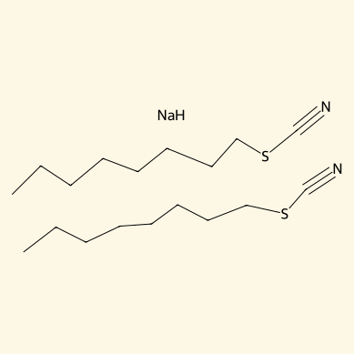 CCCCCCCCSC#N.CCCCCCCCSC#N.[NaH]